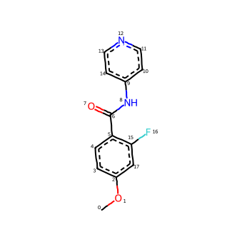 COc1ccc(C(=O)Nc2ccncc2)c(F)c1